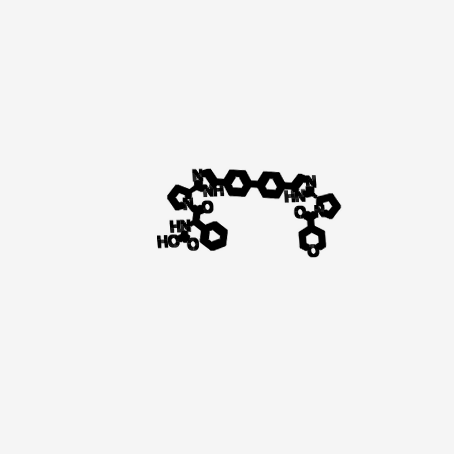 O=C(O)N[C@@H](C(=O)N1CCC[C@H]1c1ncc(-c2ccc(-c3ccc(-c4cnc([C@@H]5CCCN5C(=O)C5CCOCC5)[nH]4)cc3)cc2)[nH]1)c1ccccc1